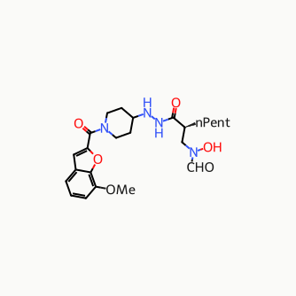 CCCCC[C@@H](CN(O)C=O)C(=O)NNC1CCN(C(=O)c2cc3cccc(OC)c3o2)CC1